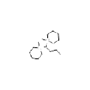 CCCC([N+]1(C)CCCCC1)[N+]1(C)CCCCC1